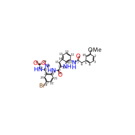 COc1cccc(CC(=O)Nc2cccc3cc(C(=O)Nc4ccc(Br)cc4-c4noc(=O)[nH]4)[nH]c23)c1